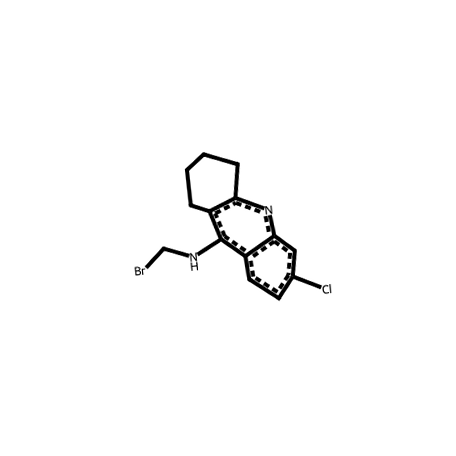 Clc1ccc2c(NCBr)c3c(nc2c1)CCCC3